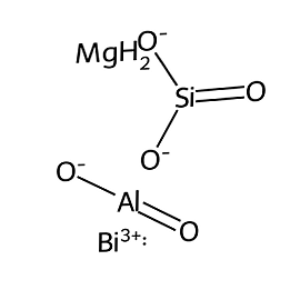 O=[Si]([O-])[O-].[Bi+3].[MgH2].[O]=[Al][O-]